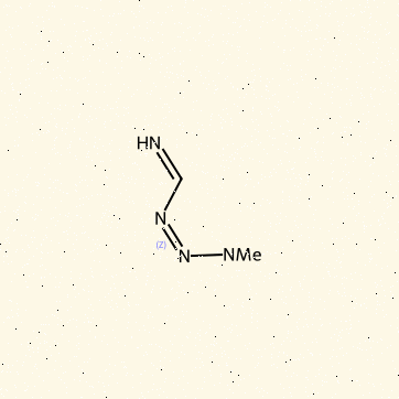 CN/N=N\C=N